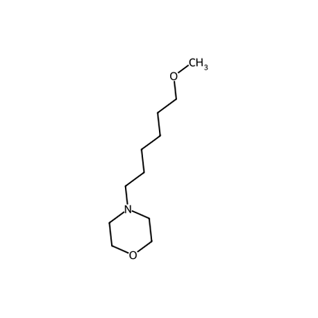 COCCCCCCN1CCOCC1